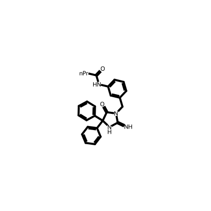 CCCC(=O)Nc1cccc(CN2C(=N)NC(c3ccccc3)(c3ccccc3)C2=O)c1